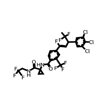 CC(F)(F)C(C=C(F)c1ccc(C(=O)NC2(C(=O)NCC(F)(F)F)CC2)c(C(F)(F)F)c1)c1cc(Cl)c(Cl)c(Cl)c1